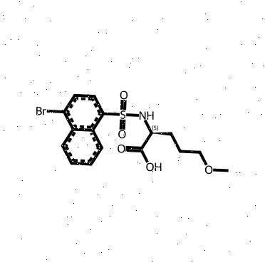 COCCC[C@H](NS(=O)(=O)c1ccc(Br)c2ccccc12)C(=O)O